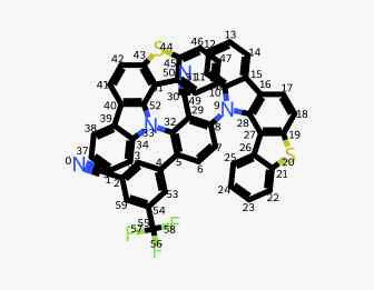 N#Cc1cc(-c2ccc(-n3c4ccccc4c4ccc5sc6ccccc6c5c43)c(C#N)c2-n2c3ccccc3c3ccc4sc5ccccc5c4c32)cc(C(F)(F)F)c1